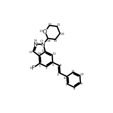 Fc1cc(/C=C/c2ccccc2)cc2c1cnn2C1CCCCO1